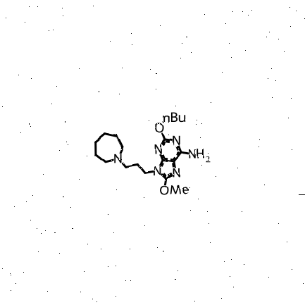 CCCCOc1nc(N)c2nc(OC)n(CCCN3CCCCCC3)c2n1